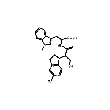 Cn1cc(CC(NC(=O)C(CS)C2CCc3cc(Br)ccc32)C(=O)O)c2ccccc21